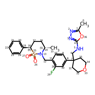 Cc1nnc(NCC2(c3ccc(CN4[C@@H](C)CC[C@H](c5ccccc5)S4(=O)=O)c(F)c3)CCOCC2)o1